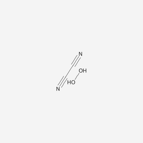 N#CC#N.OO